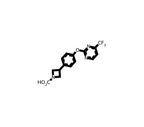 O=C(O)N1CC(c2ccc(Oc3nccc(C(F)(F)F)n3)cc2)C1